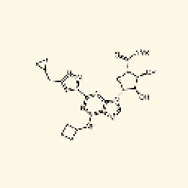 CNC(=O)[C@H]1O[C@@H](n2cnc3c(NC4CCC4)nc(-n4cc(CC5CC5)nn4)nc32)[C@H](O)[C@@H]1O